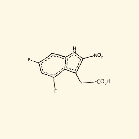 O=C(O)Cc1c([N+](=O)[O-])[nH]c2cc(F)cc(F)c12